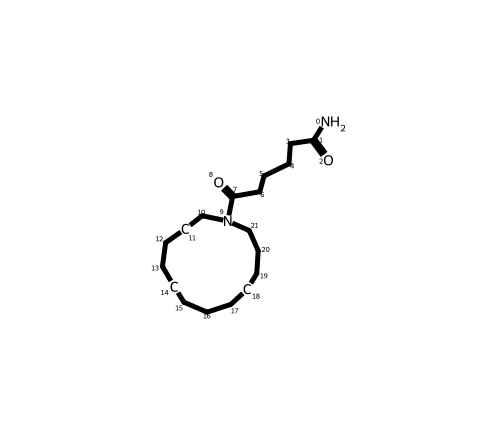 NC(=O)CCCCC(=O)N1CCCCCCCCCCCC1